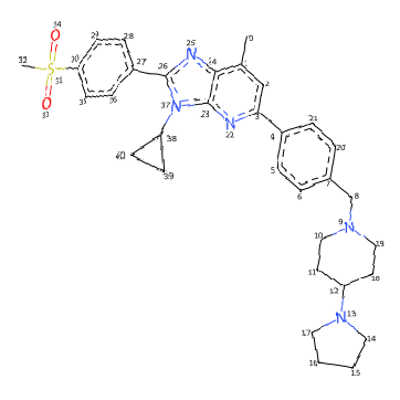 Cc1cc(-c2ccc(CN3CCC(N4CCCC4)CC3)cc2)nc2c1nc(-c1ccc(S(C)(=O)=O)cc1)n2C1CC1